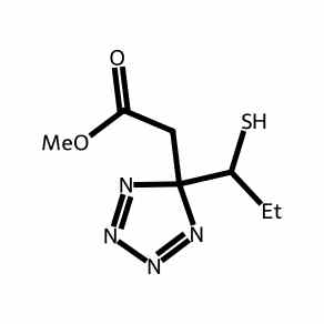 [CH2]CC(S)C1(CC(=O)OC)N=NN=N1